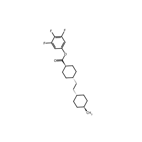 C[C@H]1CC[C@H](CC[C@H]2CC[C@H](C(=O)Oc3cc(F)c(F)c(F)c3)CC2)CC1